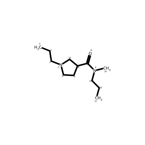 CCCN1CCC(C(=O)N(C)CCC)C1